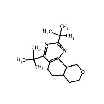 CC(C)(C)c1nc2c(c(C(C)(C)C)n1)CCC1CCOCC21